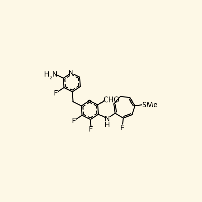 CSC1=CCC=C(Nc2c(C=O)cc(Cc3ccnc(N)c3F)c(F)c2F)C(F)=C1